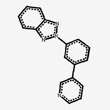 c1cncc(-c2cccc(-n3nc4ccccc4n3)c2)c1